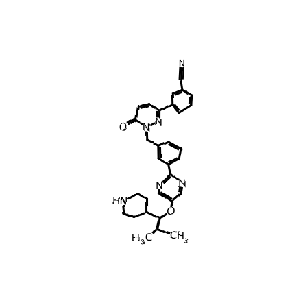 CC(C)C(Oc1cnc(-c2cccc(Cn3nc(-c4cccc(C#N)c4)ccc3=O)c2)nc1)C1CCNCC1